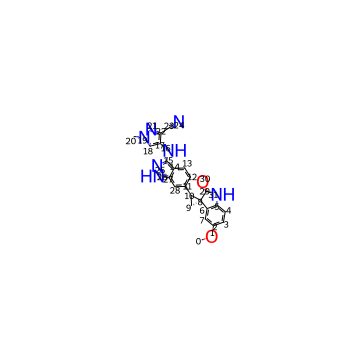 COc1ccc2c(c1)[C@]1(C[C@H]1c1ccc3c(Nc4cn(C)nc4C#N)n[nH]c3c1)C(=O)N2